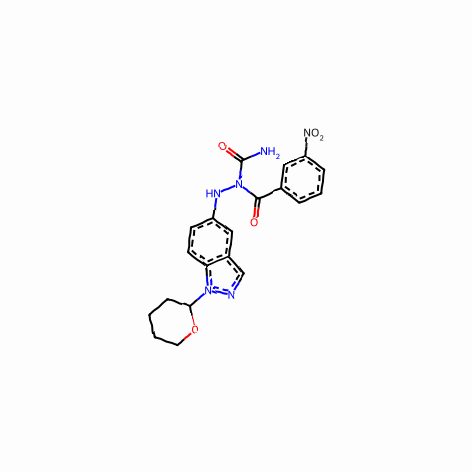 NC(=O)N(Nc1ccc2c(cnn2C2CCCCO2)c1)C(=O)c1cccc([N+](=O)[O-])c1